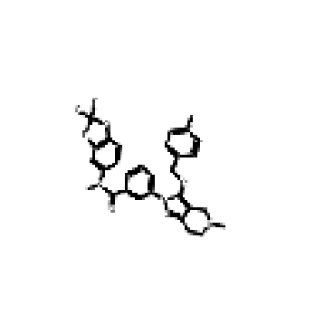 Cc1ccc(COc2c3c(nn2-c2cccc(C(=O)N(C)c4ccc5c(c4)OC(F)(F)O5)c2)CCN(C)C3)cc1